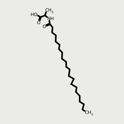 CCCCCCCCCCCCCCCCCCCCCC(=O)NC(C)C(=O)O